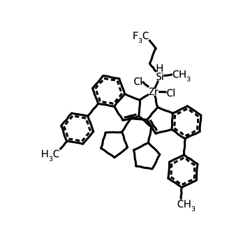 Cc1ccc(-c2cccc3c2C=C(CC2CCCC2)[CH]3[Zr]([Cl])([Cl])([CH]2C(CC3CCCC3)=Cc3c(-c4ccc(C)cc4)cccc32)[SiH](C)CCC(F)(F)F)cc1